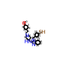 COc1ccc(CCN2CCC(Nc3nc4ccccc4n3Cc3ccc(S)cc3)CC2)cc1